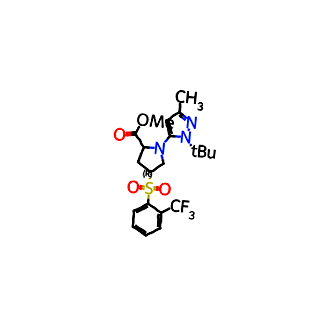 COC(=O)C1C[C@@H](S(=O)(=O)c2ccccc2C(F)(F)F)CN1c1cc(C)nn1C(C)(C)C